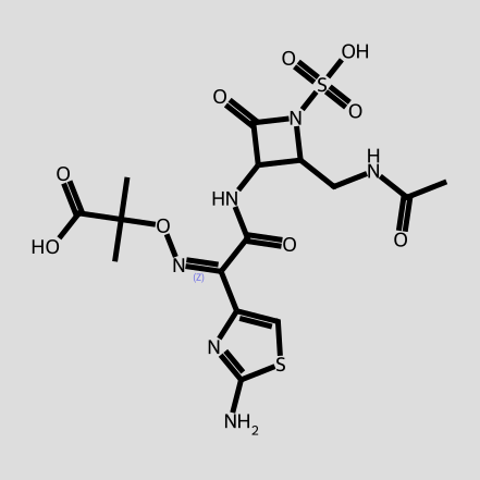 CC(=O)NCC1C(NC(=O)/C(=N\OC(C)(C)C(=O)O)c2csc(N)n2)C(=O)N1S(=O)(=O)O